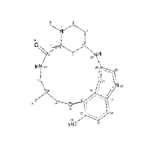 CN1CCC2CC1(C)C(=O)NCC(I)COc1c(O)ccc3ncc(cc13)N2